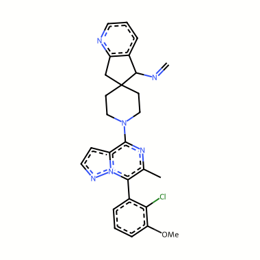 C=NC1c2cccnc2CC12CCN(c1nc(C)c(-c3cccc(OC)c3Cl)n3nccc13)CC2